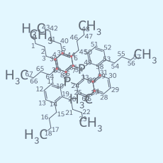 CCCCc1cccc(P(c2cccc(CCCC)c2CCCC)c2ccc3ccccc3c2P(c2cccc(CCCC)c2CCCC)c2cccc(CCCC)c2CCCC)c1CCCC